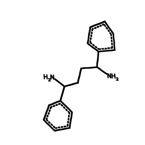 NC(CCC(N)c1ccccc1)c1ccccc1